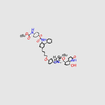 CC(C)(C)OC(=O)N[C@H]1CC[C@H](OC(=O)Nc2ccc(C=CCCOc3ccc(CNC[C@H](O[Si](C)(C)C(C)(C)C)c4ccc(O)c5[nH]c(=O)ccc45)cc3)cc2-c2ccccc2)CC1